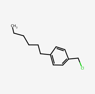 CCCCCCc1ccc(CCl)cc1